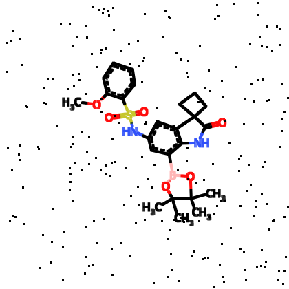 COc1ccccc1S(=O)(=O)Nc1cc(B2OC(C)(C)C(C)(C)O2)c2c(c1)C1(CCC1)C(=O)N2